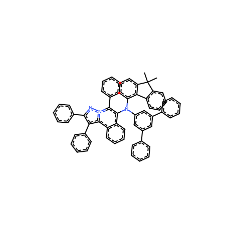 CC1(C)c2ccccc2-c2c(N(c3cc(-c4ccccc4)cc(-c4ccccc4)c3)c3c(-c4ccccc4)n4nc(-c5ccccc5)c(-c5ccccc5)c4c4ccccc34)cccc21